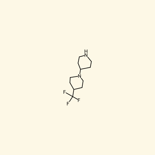 FC(F)(F)C1CCN(C2CCNCC2)CC1